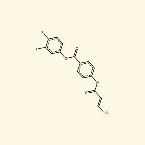 CCCCC=CC(=O)Oc1ccc(C(=O)Oc2ccc(F)c(F)c2)cc1